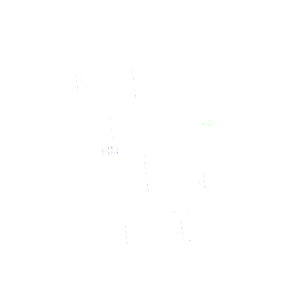 Cc1ccc(Nc2ccccc2)c2ccccc12.Cl